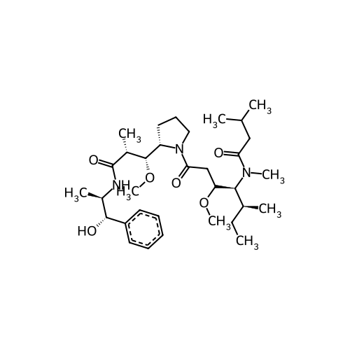 CC[C@H](C)[C@@H](C(CC(=O)N1CCC[C@H]1[C@H](OC)[C@@H](C)C(=O)N[C@H](C)[C@@H](O)c1ccccc1)OC)N(C)C(=O)CC(C)C